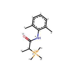 Cc1cccc(C)c1NC(=O)C(C)[PH](C)(C)C